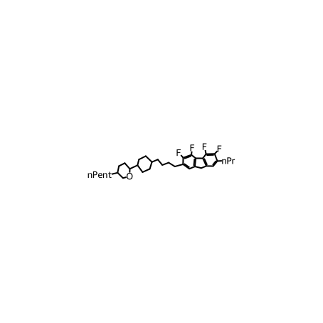 CCCCCC1CCC(C2CCC(CCCCc3cc4c(c(F)c3F)-c3c(cc(CCC)c(F)c3F)C4)CC2)OC1